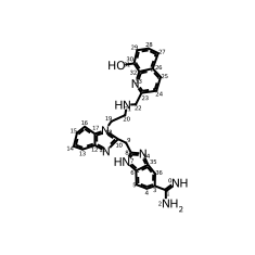 N=C(N)c1ccc2[nH]c(Cc3nc4ccccc4n3CCNCc3ccc4cccc(O)c4n3)nc2c1